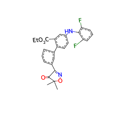 CCOC(=O)c1cc(Nc2c(F)cccc2F)ccc1-c1cccc(C2=NOC(C)(C)C2=O)c1